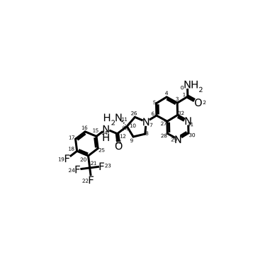 NC(=O)c1ccc(N2CC[C@@](N)(C(=O)Nc3ccc(F)c(C(F)(F)F)c3)C2)c2cncnc12